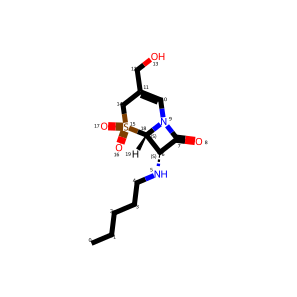 CCCCCN[C@H]1C(=O)N2C=C(CO)CS(=O)(=O)[C@@H]12